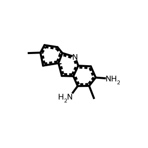 Cc1ccc2nc3cc(N)c(C)c(N)c3cc2c1